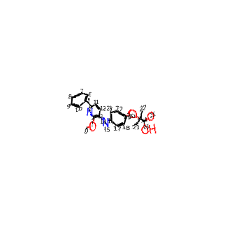 COc1nc(-c2ccccc2)ccc1N(C)c1ccc(OC(C)(C)C(=O)O)cc1